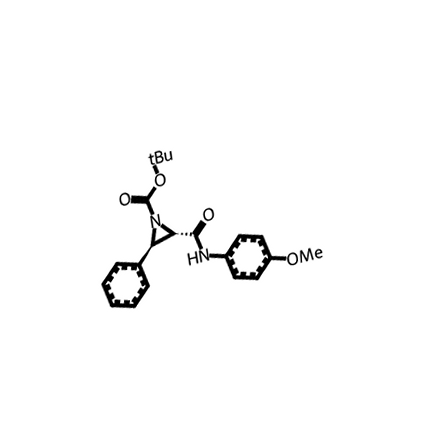 COc1ccc(NC(=O)[C@@H]2[C@@H](c3ccccc3)N2C(=O)OC(C)(C)C)cc1